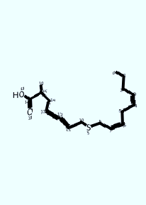 CCC/C=C\C/C=C\CSCC=C=CCC(C)C(=O)O